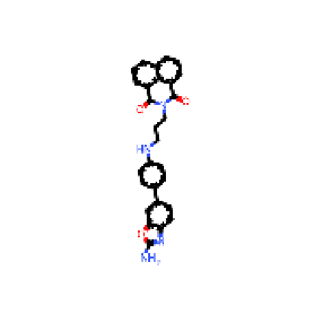 Nc1nc2ccc(-c3ccc(NCCCN4C(=O)c5cccc6cccc(c56)C4=O)cc3)cc2o1